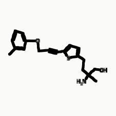 Cc1cccc(OCC#Cc2ccc(CCC(C)(N)CO)s2)c1